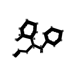 C=CCN(Nc1ccccc1)c1ccccc1C